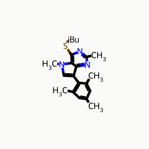 CCC(C)Sc1nc(C)nc2c(-c3c(C)cc(C)cc3C)cn(C)c12